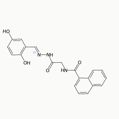 O=C(CNC(=O)c1cccc2ccccc12)N/N=C/c1cc(O)ccc1O